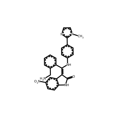 Cn1ccnc1-c1ccc(NC(=C2C(=O)Nc3ccc([N+](=O)[O-])cc32)c2ccccc2CN)cc1